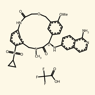 COc1ccc2cc1COCC(=O)Nc1ccc(S(=O)(=O)C3CC3)c(c1)CN(C)C(=O)[C@@H]2Nc1ccc2c(N)nccc2c1.O=C(O)C(F)(F)F